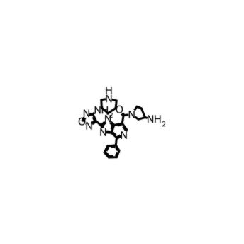 Nc1nonc1-c1nc2c(-c3ccccc3)ncc(C(=O)N3CCC(N)C3)c2n1C1CCNCC1